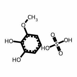 COc1cccc(O)c1O.O=S(=O)(O)O